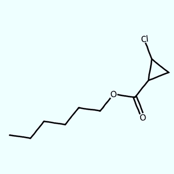 CCCCCCOC(=O)C1CC1Cl